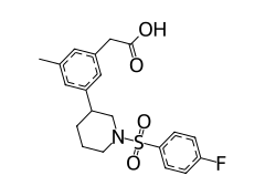 Cc1cc(CC(=O)O)cc(C2CCCN(S(=O)(=O)c3ccc(F)cc3)C2)c1